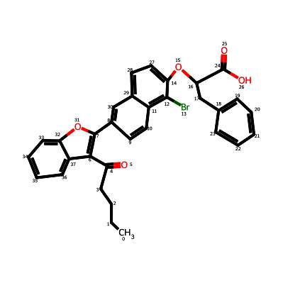 CCCCC(=O)c1c(-c2ccc3c(Br)c(OC(Cc4ccccc4)C(=O)O)ccc3c2)oc2ccccc12